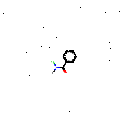 O=C(c1ccccc1)N(Cl)C(F)(F)F